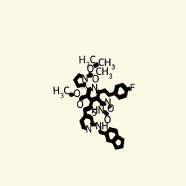 CCOC(=O)c1c([C@@H]2CCCN2C(=O)OC(C)(C)C)nc(CCc2ccc(F)cc2)c(-c2noc(=O)[nH]2)c1-c1cc2ccnc(NCc3ccc4c(c3)CCC4)c2s1